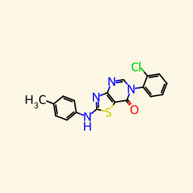 Cc1ccc(Nc2nc3ncn(-c4ccccc4Cl)c(=O)c3s2)cc1